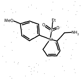 CCS(=O)(=O)[N+]1(c2ccc(OC)cc2)CC=CC=C1CN